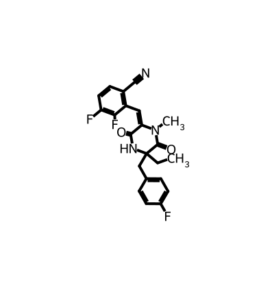 CCC1(Cc2ccc(F)cc2)NC(=O)C(=Cc2c(C#N)ccc(F)c2F)N(C)C1=O